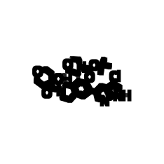 CC(C)(C)OC(=O)N1CCOC[C@H]1c1cc(-c2cnc3[nH]cc(Cl)c3c2)cc2c1CN(C(=O)C1(O)CCOCC1)CC2